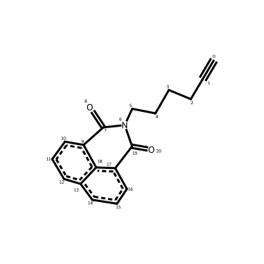 C#CCCCCN1C(=O)c2cccc3cccc(c23)C1=O